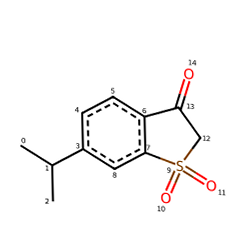 CC(C)c1ccc2c(c1)S(=O)(=O)CC2=O